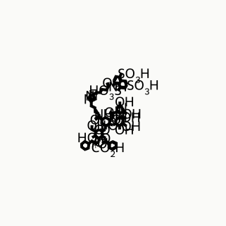 CC1OC(OC2C(NC(=O)c3cc(O)nc(O)n3)CC(C(=O)NCCCc3cn(CCCCC(=O)Nc4ccc(S(=O)(=O)O)c5cc(S(=O)(=O)O)cc(S(=O)(=O)O)c45)nn3)CC2OC2OC(CO)C(O)C(O[C@@H](CC3CCCCC3)C(=O)O)C2OC(=O)c2ccccc2)C(O)C(O)C1O